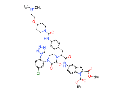 CN(C)CCOC1CCN(C(=O)Nc2ccc(C[C@@H](C(=O)Nc3ccc4c(c3)cc(C(=O)OC(C)(C)C)n4C(=O)OC(C)(C)C)N3CCN(c4cc(Cl)ccc4-n4cnnn4)C(=O)C3=O)cc2)CC1